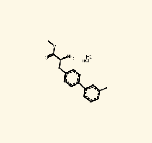 COC(=O)C(N)Cc1ccc(-c2cccc(C)c2)cc1.Cl.Cl